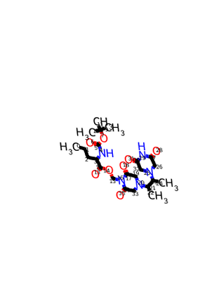 CCCC(NC(=O)OC(C)(C)C)C(=O)OCN1C(=O)CN(C(C)C(C)N2CC(=O)NC(=O)C2)CC1=O